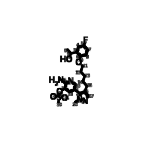 CC(O)c1cc(F)ccc1OCCCCCc1cnn(C)c1-c1cnc(N)c(OS(C)(=O)=O)c1